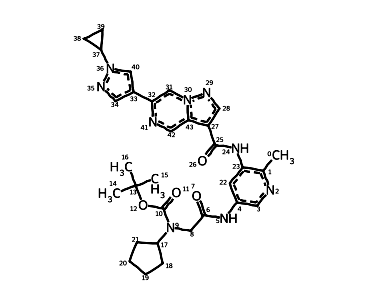 Cc1ncc(NC(=O)CN(C(=O)OC(C)(C)C)C2CCCC2)cc1NC(=O)c1cnn2cc(-c3cnn(C4CC4)c3)ncc12